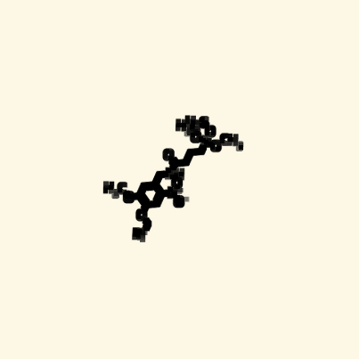 COc1cc(CNC(=O)CCC[Si](OC)(OC)OC)c([N+](=O)[O-])cc1O[CH2][Rf]